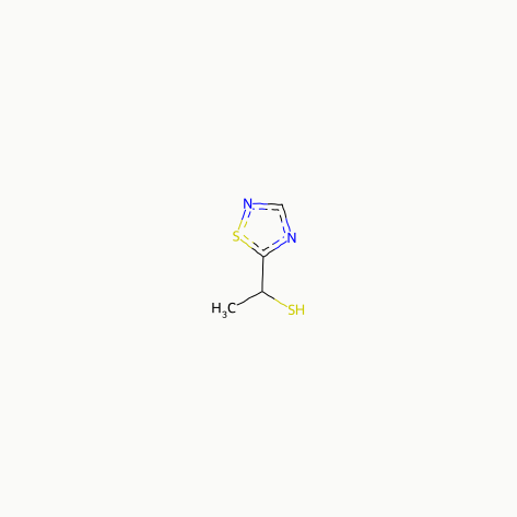 CC(S)c1ncns1